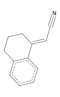 N#C/C=C1\CCCc2ccccc21